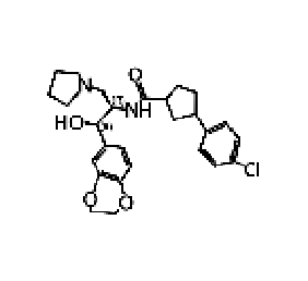 O=C(N[C@H](CN1CCCC1)[C@H](O)c1ccc2c(c1)OCCO2)C1CCC(c2ccc(Cl)cc2)C1